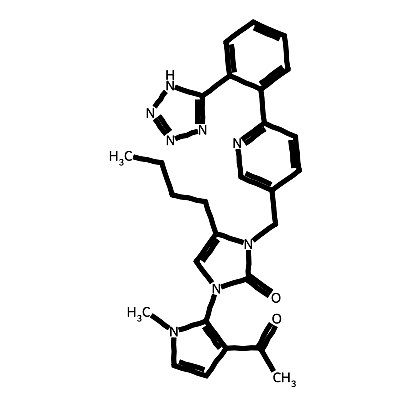 CCCCc1cn(-c2c(C(C)=O)ccn2C)c(=O)n1Cc1ccc(-c2ccccc2-c2nnn[nH]2)nc1